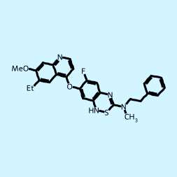 CCc1cc2c(Oc3cc4c(cc3F)N=C(N(C)CCc3ccccc3)SN4)ccnc2cc1OC